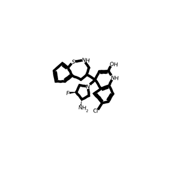 N[C@H]1CN(C2(C3CNSc4ccccc4C3)C=C(O)Nc3ccc(Cl)cc32)C[C@@H]1F